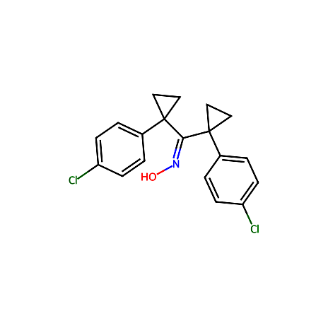 ON=C(C1(c2ccc(Cl)cc2)CC1)C1(c2ccc(Cl)cc2)CC1